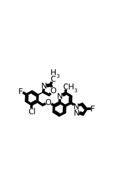 CC1=N[C@H](c2cc(F)cc(Cl)c2COc2cccc3c(-n4cc(F)cn4)cc(C)nc23)CO1